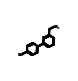 N#Cc1ccc(-c2cccc(CN)n2)cc1